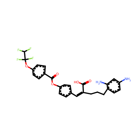 Nc1ccc(CCCC(=Cc2ccc(OC(=O)c3ccc(OC(F)(F)C(F)F)cc3)cc2)C(=O)O)c(N)c1